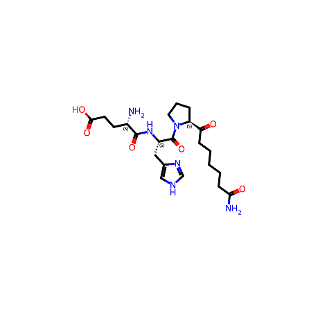 NC(=O)CCCCCC(=O)[C@@H]1CCCN1C(=O)[C@H](Cc1c[nH]cn1)NC(=O)[C@@H](N)CCC(=O)O